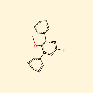 COc1c(-c2ccccc2)cc(F)cc1-c1ccccc1